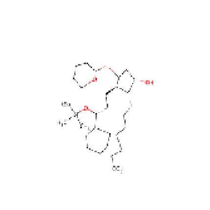 CC(C)(C)[Si](C)(C)O[C@H](CC[C@H]1C(OC2CCCCO2)C[C@H](O)[C@@H]1CCCCCCC(=O)O)C1CCCCC1